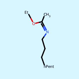 CCCCCCCCN=C(C)OCC